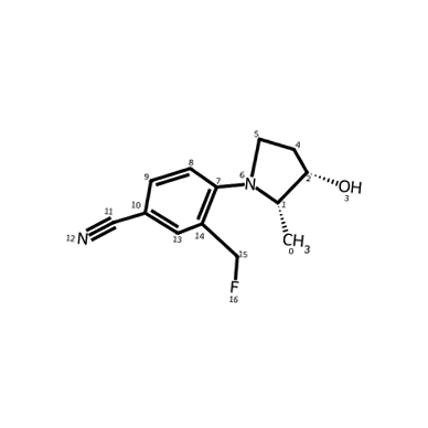 C[C@H]1[C@@H](O)CCN1c1ccc(C#N)cc1CF